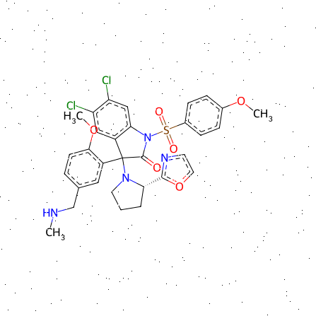 CNCc1ccc(OC)c(C2(N3CCC[C@H]3c3ncco3)C(=O)N(S(=O)(=O)c3ccc(OC)cc3)c3cc(Cl)c(Cl)cc32)c1